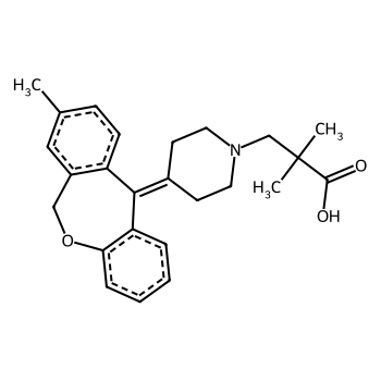 Cc1ccc2c(c1)COc1ccccc1C2=C1CCN(CC(C)(C)C(=O)O)CC1